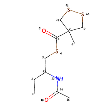 CCC(CSC(=O)C1(C)CSSC1)NC(C)=O